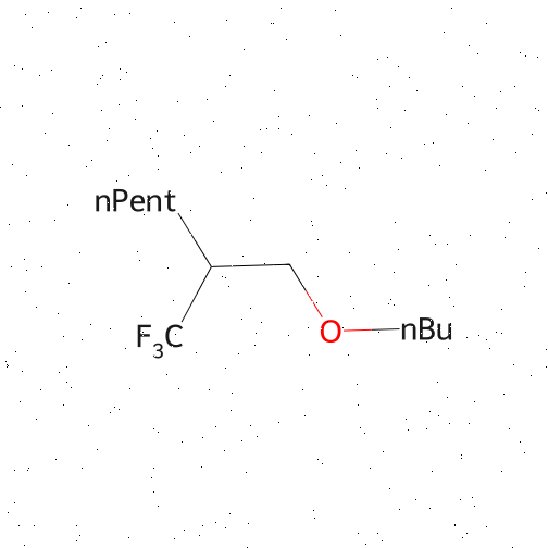 [CH2]CCCOCC(CCCCC)C(F)(F)F